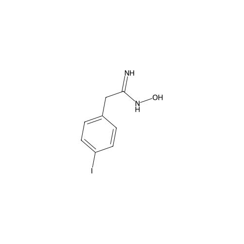 N=C(Cc1ccc(I)cc1)NO